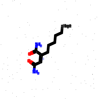 CCCCCCCCCCCC/C(=C/C(N)=O)C(N)=O